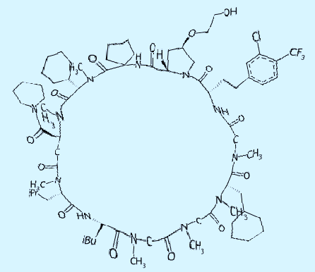 CC[C@H](C)[C@@H]1NC(=O)[C@H](CC(C)C)N(C)C(=O)C[C@@H](C(=O)N2CCCCC2)N(C)C(=O)[C@H](C2CCCCC2)N(C)C(=O)C2(CCCC2)NC(=O)[C@@H]2C[C@@H](OCCO)CN2C(=O)[C@H](CCc2ccc(C(F)(F)F)c(Cl)c2)NC(=O)CN(C)C(=O)[C@H](CC2CCCCC2)N(C)C(=O)CN(C)C(=O)CN(C)C1=O